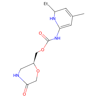 CCC1C=C(C)C=C(NC(=O)OC[C@@H]2CNC(=O)CO2)N1